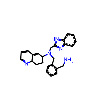 NCc1ccccc1CN(Cc1nc2ccccc2[nH]1)C1C=C2C=CC=NC2CC1